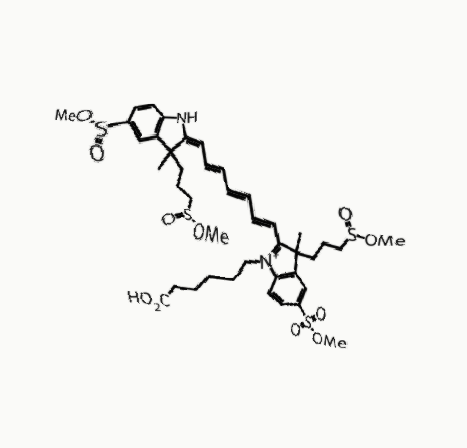 COS(=O)CCCC1(C)C(/C=C/C=C/C=C/C=C2/Nc3ccc(S(=O)OC)cc3C2(C)CCCS(=O)OC)=[N+](CCCCCC(=O)O)c2ccc(S(=O)(=O)OC)cc21